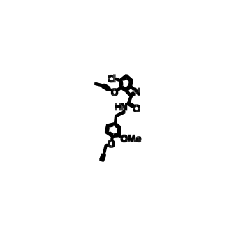 C#CCOc1ccc(CCNC(=O)C2=Nc3ccc(Cl)c(OC#CC)c32)cc1OC